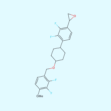 COc1ccc(COC2CCC(c3ccc(C4CO4)c(F)c3F)CC2)c(F)c1F